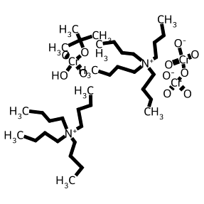 CC(C)(C)[O][Cr](=[O])(=[O])[OH].CCCC[N+](CCCC)(CCCC)CCCC.CCCC[N+](CCCC)(CCCC)CCCC.[O]=[Cr](=[O])([O-])[O][Cr](=[O])(=[O])[O-]